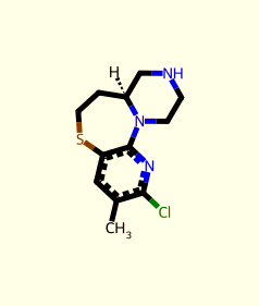 Cc1cc2c(nc1Cl)N1CCNC[C@@H]1CCS2